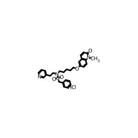 Cl.Cn1c(=O)ccc2cc(OCCCCCN(CCc3cccnc3)S(=O)(=O)Cc3ccccc3)ccc21